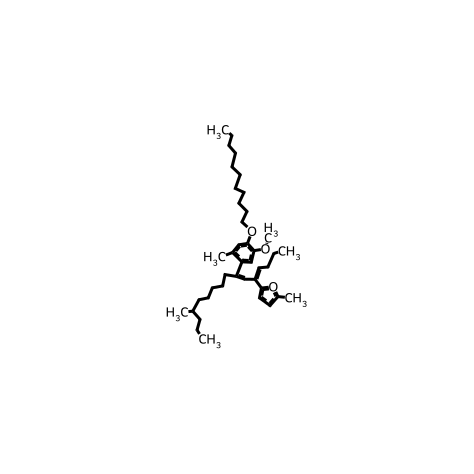 CCC/C=C(/C=C(/CCCCCC(C)CCC)c1cc(OC)c(OCCCCCCCCCCC)cc1C)c1ccc(C)o1